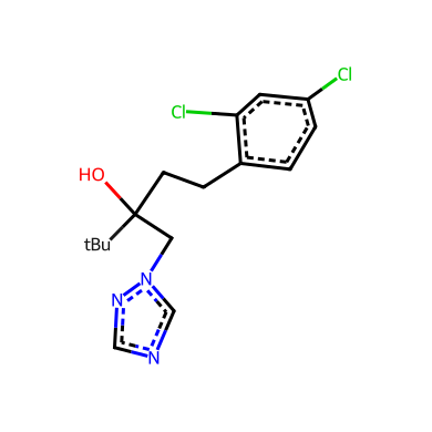 CC(C)(C)C(O)(CCc1ccc(Cl)cc1Cl)Cn1cncn1